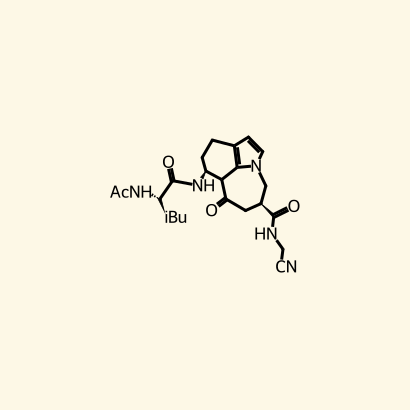 CC[C@H](C)[C@H](NC(C)=O)C(=O)N[C@H]1CCc2ccn3c2C1C(=O)C[C@H](C(=O)NCC#N)C3